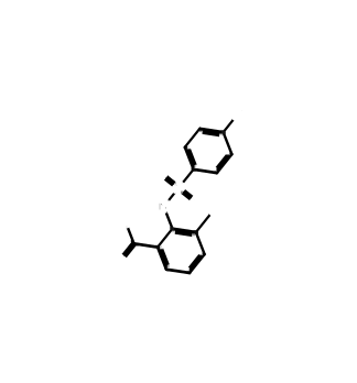 Cc1cccc(C(=O)O)c1NS(=O)(=O)c1ccc(Cl)cc1